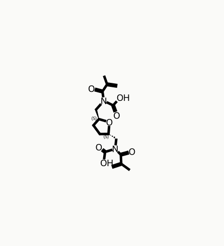 C=C(C)C(=O)N(C[C@@H]1CC[C@@H](CN(C(=O)O)C(=O)C(=C)C)O1)C(=O)O